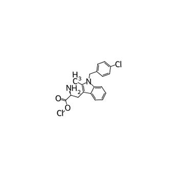 Cc1c(C[C@H](N)C(=O)OCl)c2ccccc2n1Cc1ccc(Cl)cc1